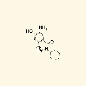 CC(C)N(C(=O)c1cc(N)c(O)cc1C(F)(F)F)C1CCCCC1